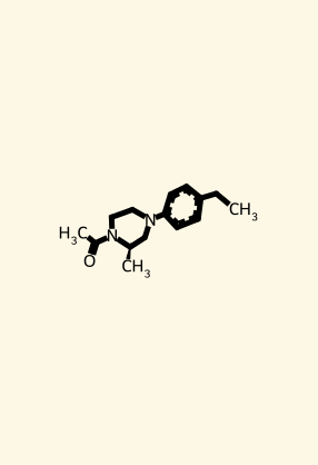 CCc1ccc(N2CCN(C(C)=O)[C@H](C)C2)cc1